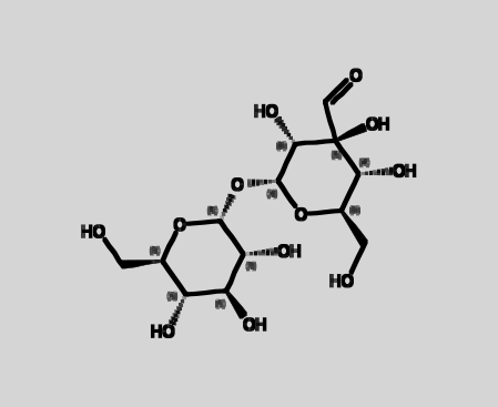 O=C[C@]1(O)[C@H](O)[C@@H](CO)O[C@H](O[C@H]2O[C@H](CO)[C@@H](O)[C@H](O)[C@H]2O)[C@@H]1O